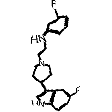 Fc1cccc(NCCN2CCC(c3c[nH]c4ccc(F)cc34)CC2)c1